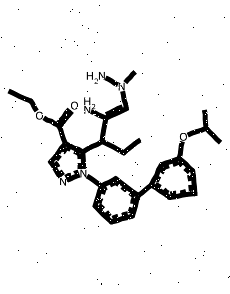 CCOC(=O)c1cnn(-c2cccc(-c3cccc(OC(C)C)c3)c2)c1C(CC)/C(N)=C/N(C)N